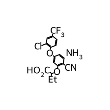 CCC(Oc1cc(Oc2ccc(C(F)(F)F)cc2Cl)ccc1C#N)C(=O)O.N